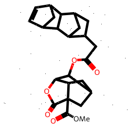 COC(=O)C12CC3CC1C(OC2=O)C3OC(=O)CC1CC2CC1C1C3C=CC(C3)C21